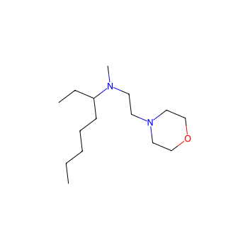 CCCCCC(CC)N(C)CCN1CCOCC1